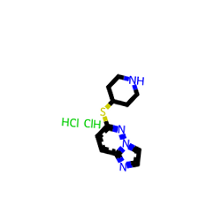 Cl.Cl.c1cn2nc(SC3CCNCC3)ccc2n1